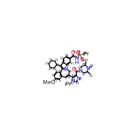 COc1ccc2c(c1)C=C(c1c(C(=O)N3CC(C)N(C)C(C)C3)ncn1C(C)C)Cn1c-2c(C2CCCCC2)c2ccc(C(=O)NS(=O)(=O)C(C)C)cc21